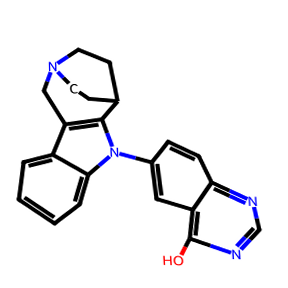 Oc1ncnc2ccc(-n3c4c(c5ccccc53)CN3CCC4CC3)cc12